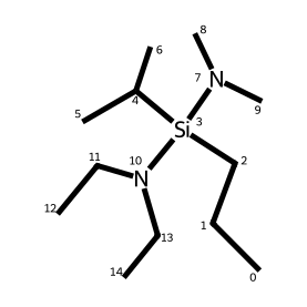 CCC[Si](C(C)C)(N(C)C)N(CC)CC